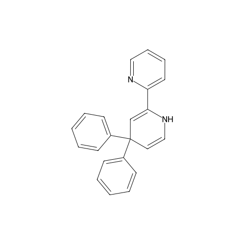 C1=CC(c2ccccc2)(c2ccccc2)C=C(c2ccccn2)N1